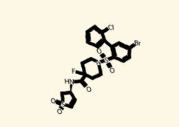 O=C(N[C@H]1C=CS(=O)(=O)C1)C1(F)CCN(S(=O)(=O)c2ccc(Br)cc2-c2ccccc2Cl)CC1